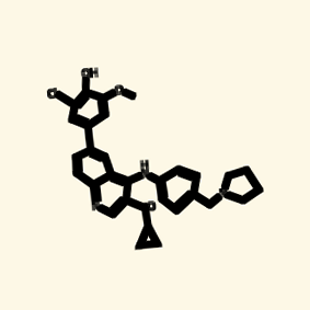 COc1cc(-c2ccc3ncc(C(=O)C4CC4)c(Nc4ccc(CN5CCCC5)cc4)c3c2)cc(Cl)c1O